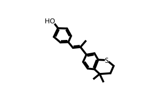 CC(=Cc1ccc(O)cc1)c1ccc2c(c1)SCCC2(C)C